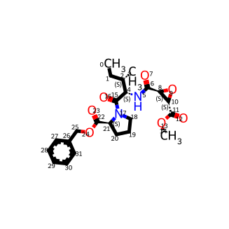 CC[C@H](C)[C@H](NC(=O)[C@H]1O[C@@H]1C(=O)OC)C(=O)N1CCC[C@H]1C(=O)OCc1ccccc1